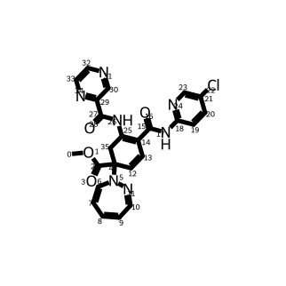 COC(=O)C1(N2C=CC=CC=N2)C=CC(C(=O)Nc2ccc(Cl)cn2)=C(NC(=O)c2cnccn2)C1